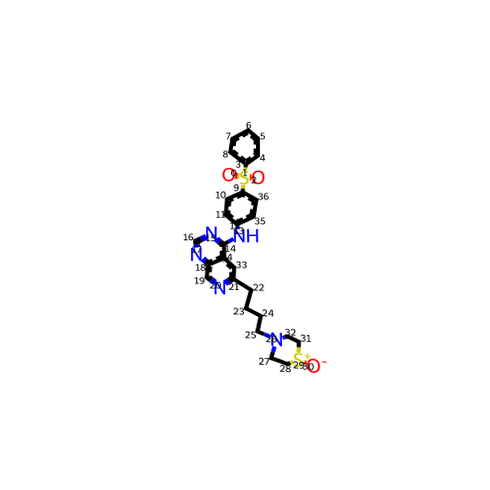 O=S(=O)(c1ccccc1)c1ccc(Nc2ncnc3cnc(CCCCN4CC[S+]([O-])CC4)cc23)cc1